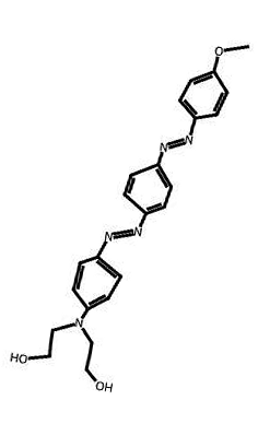 COc1ccc(N=Nc2ccc(N=Nc3ccc(N(CCO)CCO)cc3)cc2)cc1